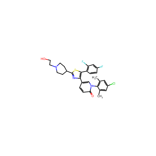 Cc1cc(Cl)cc(C)c1-n1cc(-c2nc(C3CCN(CCO)CC3)sc2-c2ccc(F)cc2F)ccc1=O